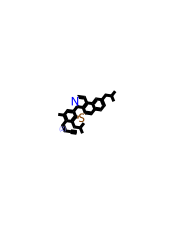 C#C/C=C\c1c(C)cc2c(c1CC(C)C)Sc1cc3ccc(CC(C)C)cc3c3ccnc-2c13